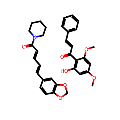 COc1cc(O)c(C(=O)C=Cc2ccccc2)c(OC)c1.O=C(C=CC=Cc1ccc2c(c1)OCO2)N1CCCCC1